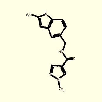 Cn1cc(C(=O)NCc2ccc3[nH]c(C(F)(F)F)cc3c2)cn1